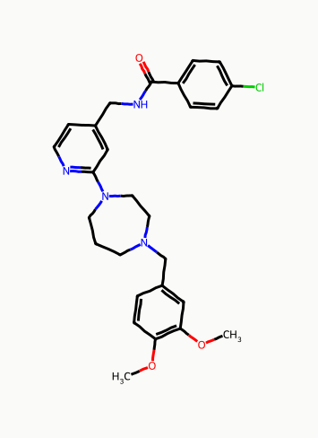 COc1ccc(CN2CCCN(c3cc(CNC(=O)c4ccc(Cl)cc4)ccn3)CC2)cc1OC